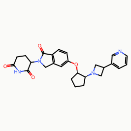 O=C1CCC(N2Cc3cc(O[C@@H]4CCC[C@@H]4N4CC(c5cccnc5)C4)ccc3C2=O)C(=O)N1